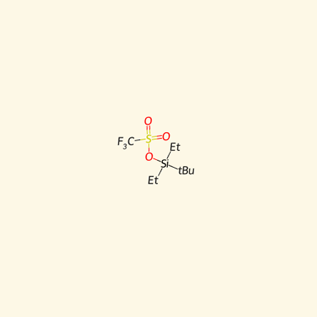 CC[Si](CC)(OS(=O)(=O)C(F)(F)F)C(C)(C)C